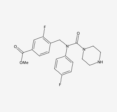 COC(=O)c1ccc(CN(C(=O)N2CCNCC2)c2ccc(F)cc2)c(F)c1